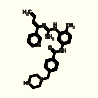 C=C/C=C(\N=C(/N)Nc1cc(NC(=O)c2ccc(CN3CCNCC3)cc2)ccc1C)c1cccnc1